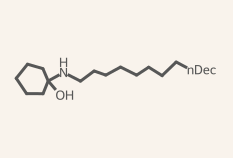 CCCCCCCCCCCCCCCCCCNC1(O)CCCCC1